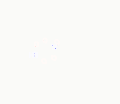 CCCCCCCCCCCC(=O)N1CCOCCOCCNCCOCCOCC1